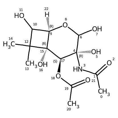 CC(=O)N[C@]1(O)C(O)O[C@@H]2C(O)C(C)(C)[C@]2(O)[C@@H]1OC(C)=O